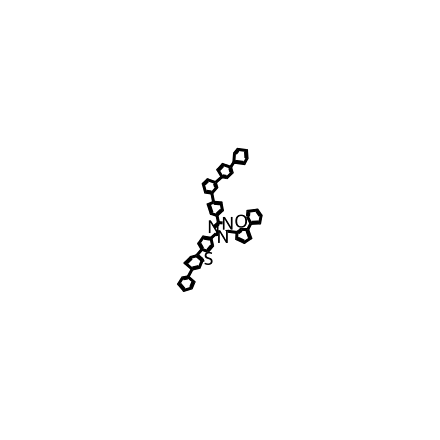 c1ccc(-c2ccc(-c3cccc(-c4ccc(-c5nc(-c6ccc7c(c6)sc6cc(-c8ccccc8)ccc67)nc(-c6cccc7c6oc6ccccc67)n5)cc4)c3)cc2)cc1